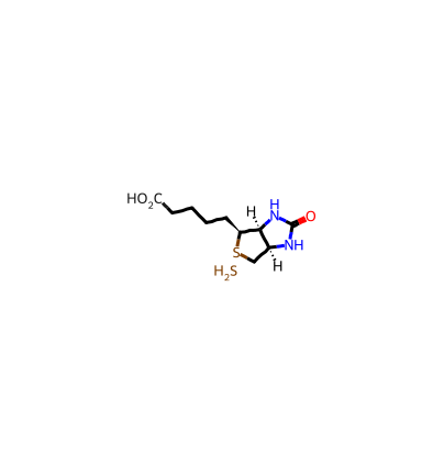 O=C(O)CCCC[C@@H]1SC[C@@H]2NC(=O)N[C@@H]21.S